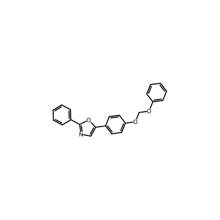 c1ccc(OCOc2ccc(-c3cnc(-c4ccccc4)o3)cc2)cc1